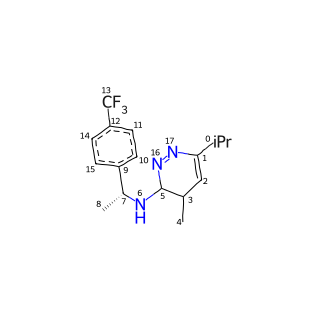 CC(C)C1=CC(C)C(N[C@H](C)c2ccc(C(F)(F)F)cc2)N=N1